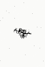 [2H]C([2H])([2H])c1c(CCC)n[nH]c1OC(=O)OCC